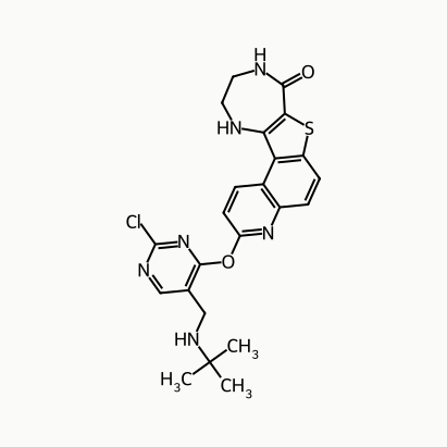 CC(C)(C)NCc1cnc(Cl)nc1Oc1ccc2c(ccc3sc4c(c32)NCCNC4=O)n1